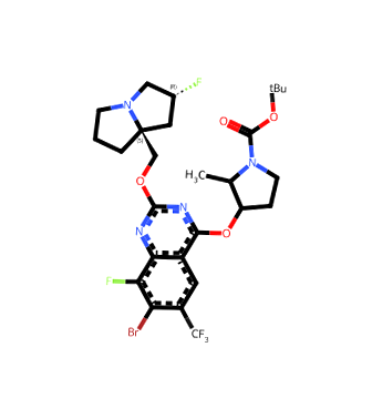 CC1C(Oc2nc(OC[C@@]34CCCN3C[C@H](F)C4)nc3c(F)c(Br)c(C(F)(F)F)cc23)CCN1C(=O)OC(C)(C)C